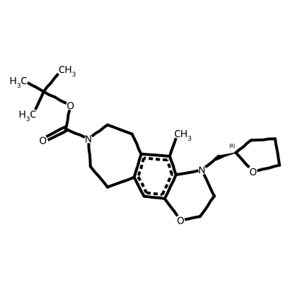 Cc1c2c(cc3c1N(C[C@H]1CCCO1)CCO3)CCN(C(=O)OC(C)(C)C)CC2